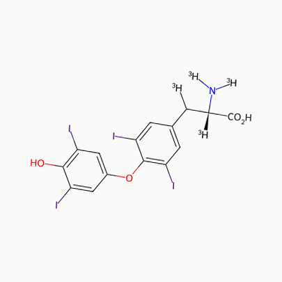 [3H]C(c1cc(I)c(Oc2cc(I)c(O)c(I)c2)c(I)c1)[C@@]([3H])(C(=O)O)N([3H])[3H]